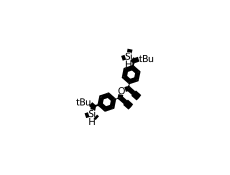 C#CC(OC(C#C)[C@H]1CC[C@H](C([SiH](C)C)C(C)(C)C)CC1)[C@H]1CC[C@H](C([SiH](C)C)C(C)(C)C)CC1